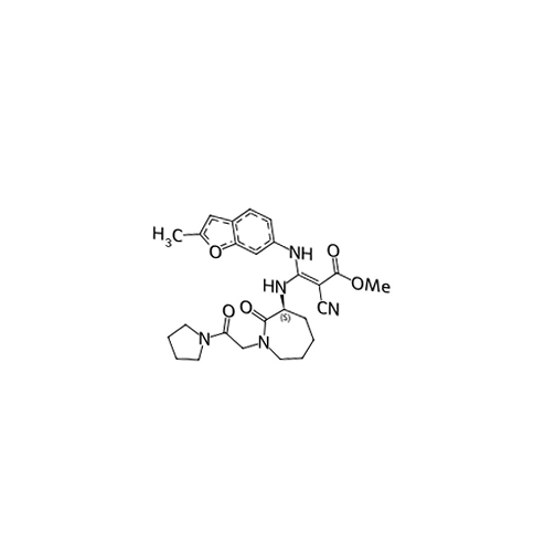 COC(=O)C(C#N)=C(Nc1ccc2cc(C)oc2c1)N[C@H]1CCCCN(CC(=O)N2CCCC2)C1=O